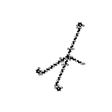 CCOCCCOCCCC(=O)NC(COCCC(=O)NCCOCCOCCOCCOCCC(=O)ON1C(=O)CCC1=O)(COCCC(=O)NCCOCCOCCOCCOCCC(=O)ON1C(=O)CCC1=O)COCCC(=O)NCCOCCOCCOCCOCCC(=O)ON1C(=O)CCC1=O